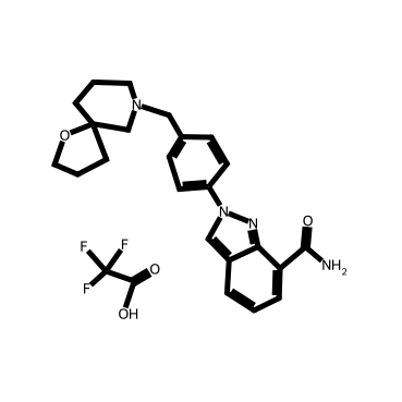 NC(=O)c1cccc2cn(-c3ccc(CN4CCCC5(CCCO5)C4)cc3)nc12.O=C(O)C(F)(F)F